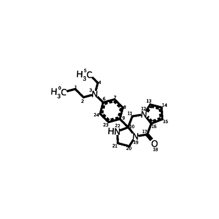 CCCN(CC)c1ccc(C23Cn4cccc4C(=O)N2CCN3)cc1